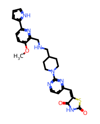 COc1ccc(-c2ccc[nH]2)nc1CNCC1CCN(c2nccc(/C=C3/SC(=O)NC3=O)n2)CC1